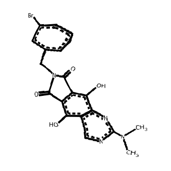 CN(C)c1ncc2c(O)c3c(c(O)c2n1)C(=O)N(Cc1cccc(Br)c1)C3=O